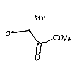 COC(=O)C[O-].[Na+]